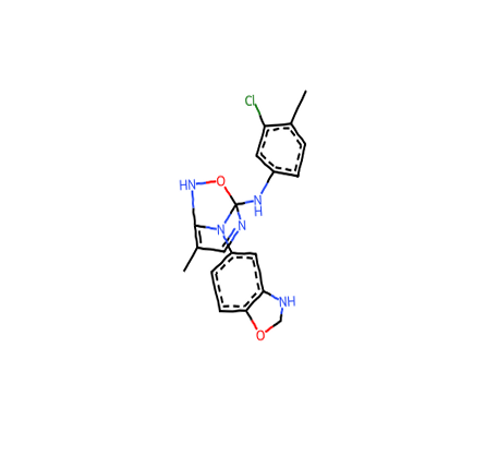 CC1=C2NOC(Nc3ccc(C)c(Cl)c3)(N=C1)N2c1ccc2c(c1)NCO2